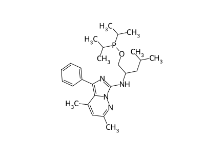 Cc1cc(C)c2c(-c3ccccc3)nc(NC(COP(C(C)C)C(C)C)CC(C)C)n2n1